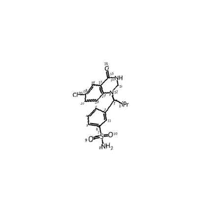 CC(C)C(c1cccc(S(N)(=O)=O)c1)N1CNC(=O)c2cc(Cl)ccc21